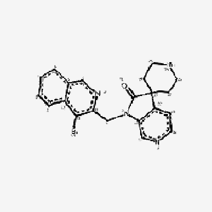 O=C1N(Cc2ncc3ccccc3c2Br)c2cnccc2C12CCNCC2